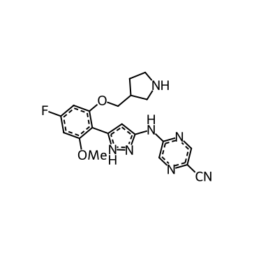 COc1cc(F)cc(OCC2CCNC2)c1-c1cc(Nc2cnc(C#N)cn2)n[nH]1